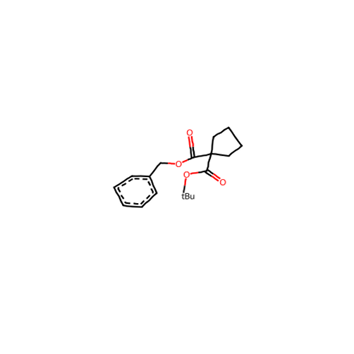 CC(C)(C)OC(=O)C1(C(=O)OCc2ccccc2)CCCC1